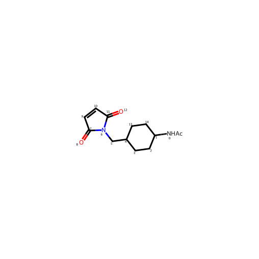 CC(=O)NC1CCC(CN2C(=O)C=CC2=O)CC1